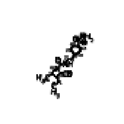 CCC1C(=C=O)N(C(=O)NCCc2ccc(S(N)(=O)=O)cc2)CC1C